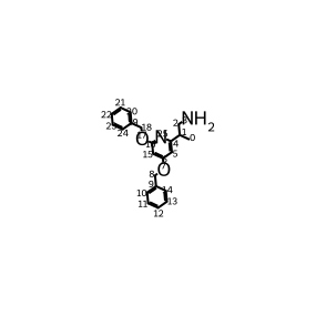 CC(CN)c1cc(OCc2ccccc2)cc(OCc2ccccc2)n1